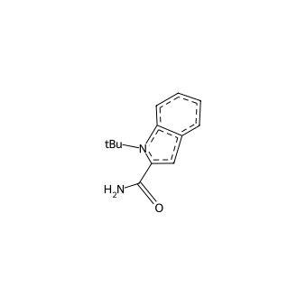 CC(C)(C)n1c(C(N)=O)cc2ccccc21